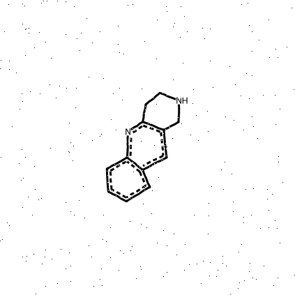 c1ccc2nc3c(cc2c1)CNCC3